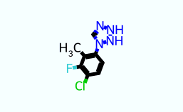 Cc1c(N2C=NNN2)ccc(Cl)c1F